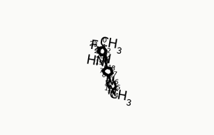 Cc1cc2nc(-c3ccc(N4CCN(C)CC4)cc3)[nH]c2cc1F